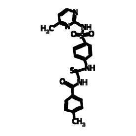 Cc1ccc(C(=O)NC(=S)Nc2ccc(S(=O)(=O)Nc3nccc(C)n3)cc2)cc1